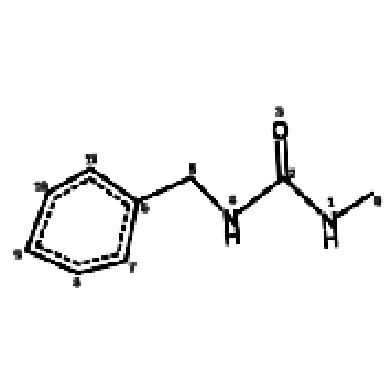 CNC(=O)NCc1ccccc1